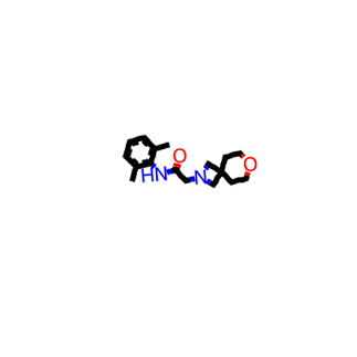 Cc1cccc(C)c1NC(=O)CN1CC2(CCOCC2)C1